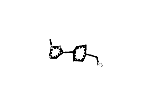 Cn1ncc(-c2ccc(CN)cc2)n1